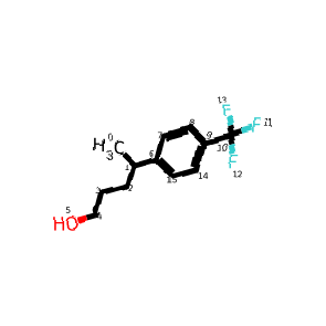 CC(CCCO)c1ccc(C(F)(F)F)cc1